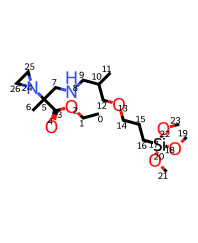 CCOC(=O)C(C)(CNCC(C)COCCC[Si](OC)(OC)OC)N1CC1